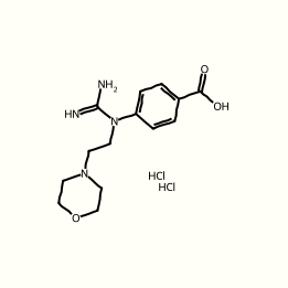 Cl.Cl.N=C(N)N(CCN1CCOCC1)c1ccc(C(=O)O)cc1